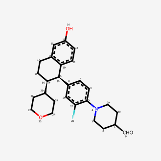 O=CC1CCN(c2ccc([C@@H]3c4ccc(O)cc4CC[C@@H]3C3CCOCC3)cc2F)CC1